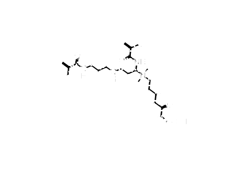 C=C(C)C(=O)NCCCNCCC(NC(=O)C(=C)C)[N+](C)(C)CCCCC(=O)CC(=O)O